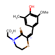 COc1cc(/C=C2/SCCN(CC(=O)O)C2=S)cc(C)c1O